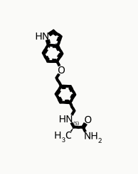 C[C@H](NCc1ccc(COc2ccc3[nH]ccc3c2)cc1)C(N)=O